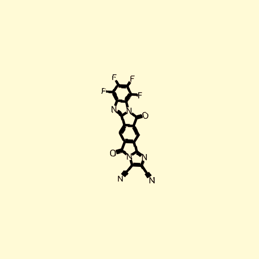 N#Cc1nc2c3cc4c(=O)n5c(nc6c(F)c(F)c(F)c(F)c65)c4cc3c(=O)n2c1C#N